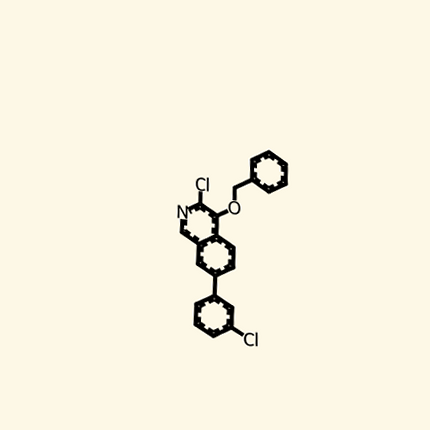 Clc1cccc(-c2ccc3c(OCc4ccccc4)c(Cl)ncc3c2)c1